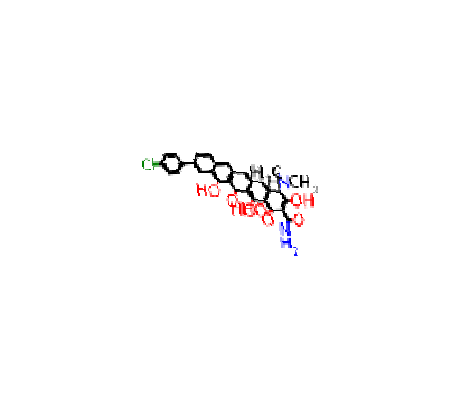 CN(C)[C@@H]1C(O)=C(C(N)=O)C(=O)[C@@]2(O)C(O)=C3C(=O)c4c(cc5ccc(-c6ccc(Cl)cc6)cc5c4O)C[C@H]3C[C@@H]12